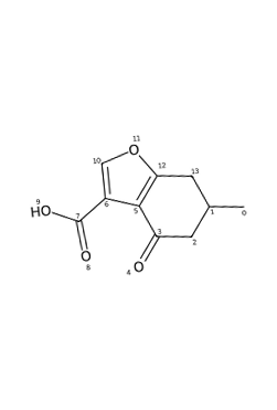 CC1CC(=O)c2c(C(=O)O)coc2C1